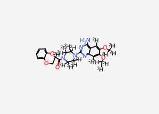 [2H]c1c(OC([2H])([2H])[2H])c(OC([2H])([2H])[2H])c([2H])c2c(N)nc(N3C([2H])([2H])C([2H])([2H])N(C(=O)C4([2H])COc5ccccc5O4)C([2H])([2H])C3([2H])[2H])nc12